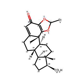 CCC1OC2=C(O1)[C@@]1(C)C(=CC2=O)CC[C@@H]2[C@@H]1CC[C@]1(C)[C@@H](C(=O)O)CC[C@@H]21